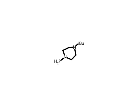 CCC(C)N1CCN(P)CC1